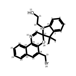 CC1(C)c2ccccc2N(CCO)C12C=Nc1c(c(CBr)cc3ccccc13)O2